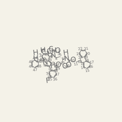 CC(=O)N(CC[C@H](NC(=O)OCC1c2ccccc2-c2ccccc21)C(=O)O)[C@@H](c1cc(-c2cc(F)ccc2F)cn1Cc1ccccc1)C(C)(C)C